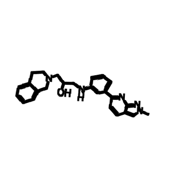 Cn1cc2ccc(-c3cccc(NCC(O)CN4CCc5ccccc5C4)c3)nc2n1